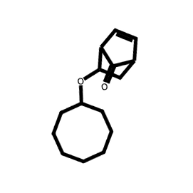 O=C1C2C=CC1C(OC1CCCCCCC1)C2